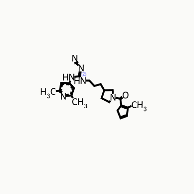 CC1=C(C(=O)N2CCC(CCCN/C(=N/C#N)Nc3cc(C)nc(C)c3)C2)CC=C1